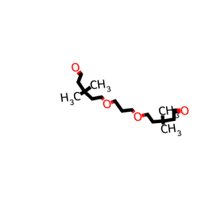 CC(C)(CC=O)CCOCCCOCCC(C)(C)CC=O